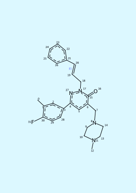 Cc1cc(-c2cc(CN3CCN(C)CC3)c(=O)n(C/C=C/c3ccccc3)n2)ccc1F